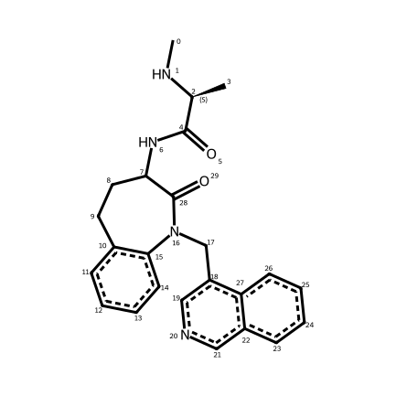 CN[C@@H](C)C(=O)NC1CCc2ccccc2N(Cc2cncc3ccccc23)C1=O